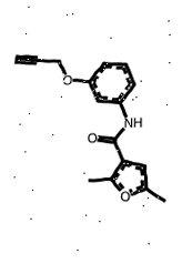 C#CCOc1cccc(NC(=O)c2cc(C)oc2C)c1